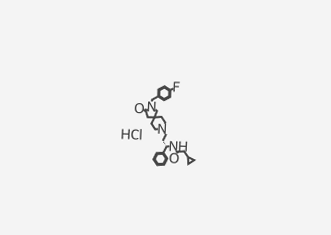 Cl.O=C(CC1CC1)N[C@@H](CCN1CCC2(CC1)CC(=O)N(Cc1ccc(F)cc1)C2)c1ccccc1